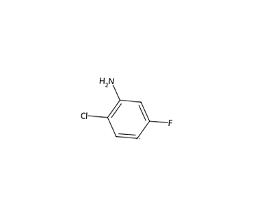 Nc1cc(F)[c]cc1Cl